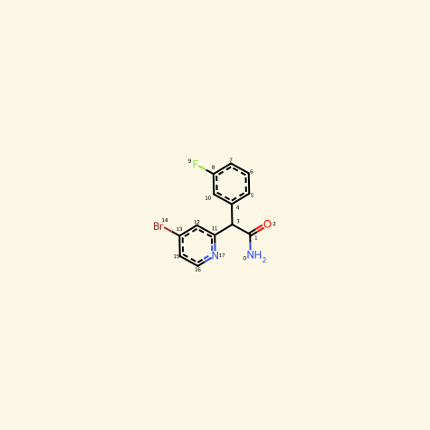 NC(=O)C(c1cccc(F)c1)c1cc(Br)ccn1